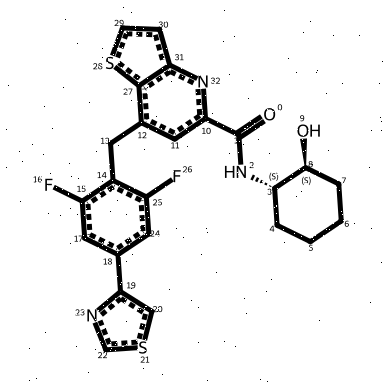 O=C(N[C@H]1CCCC[C@@H]1O)c1cc(Cc2c(F)cc(-c3cscn3)cc2F)c2sccc2n1